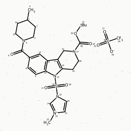 CC1CCN(C(=O)c2ccc3c(c2)c2c(n3S(=O)(=O)n3cc[n+](C)c3)CCN(C(=O)OC(C)(C)C)C2)CC1.O=S(=O)([O-])C(F)(F)F